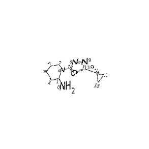 NC1CCCCN1c1nnc(C2CC2)o1